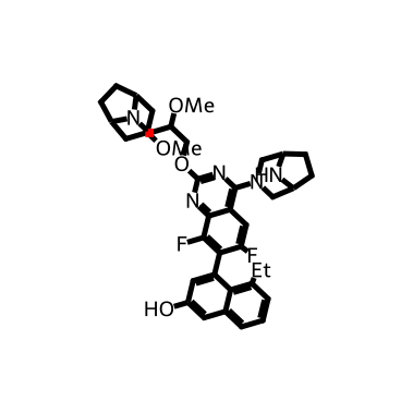 CCc1cccc2cc(O)cc(-c3c(F)cc4c(N5CC6CCC(C5)N6)nc(OCC(CN5C6CCC5CC(OC)C6)OC)nc4c3F)c12